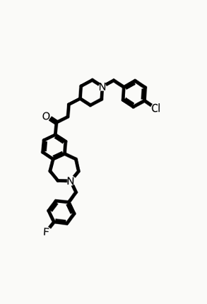 O=C(CCC1CCN(Cc2ccc(Cl)cc2)CC1)c1ccc2c(c1)CCN(Cc1ccc(F)cc1)CC2